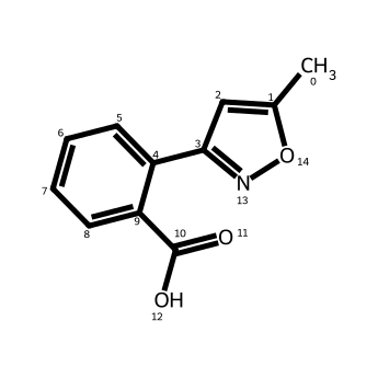 Cc1cc(-c2ccccc2C(=O)O)no1